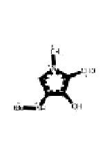 Cn1cc(NC(C)(C)C)c(O)c1C=O